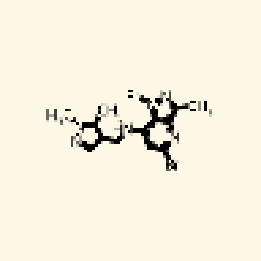 Cc1nn(C(C)C)c2c(NCC3C=NN(C)C3C)cc(Br)nc12